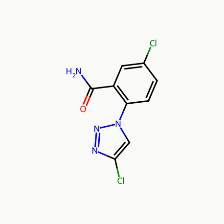 NC(=O)c1cc(Cl)ccc1-n1cc(Cl)nn1